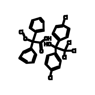 O=C(O)C(OCl)(c1ccccc1)c1ccccc1.OC(c1ccc(Cl)cc1)(c1ccc(Cl)cc1)C(Cl)(Cl)Cl